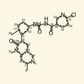 Cc1cc2c(cn1)cc(-c1cc(NC(=O)NC(=O)c3ccc(Cl)nc3)ccc1C)c(=O)n2C